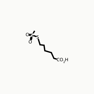 CS(=O)(=O)SCCCCCC(=O)O